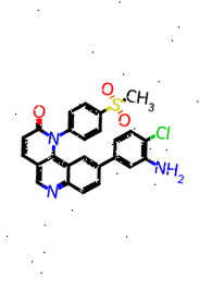 CS(=O)(=O)c1ccc(-n2c(=O)ccc3cnc4ccc(-c5ccc(Cl)c(N)c5)cc4c32)cc1